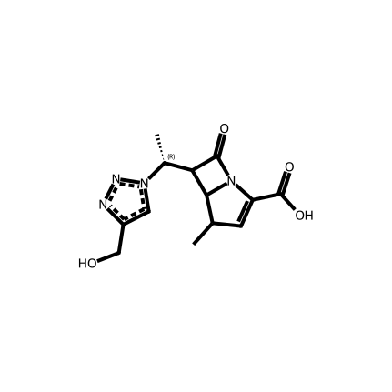 CC1C=C(C(=O)O)N2C(=O)C([C@@H](C)n3cc(CO)nn3)C12